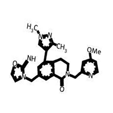 COc1ccnc(CN2CCc3c(cc(Cn4ccoc4=N)cc3-c3cn(C)nc3C)C2=O)c1